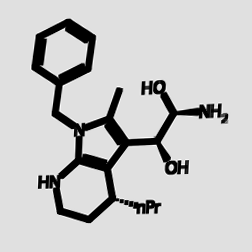 CCC[C@@H]1CCNc2c1c([C@H](O)[C@H](N)O)c(C)n2Cc1ccccc1